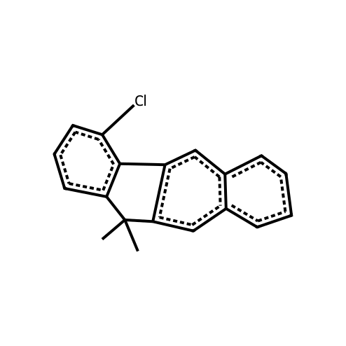 CC1(C)c2cc3ccccc3cc2-c2c(Cl)cccc21